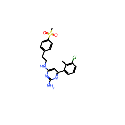 Cc1c(Cl)cccc1-c1cc(NCCc2ccc(S(C)(=O)=O)cc2)nc(N)n1